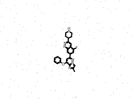 Cc1cn2nc(-c3cc(F)c4cc(C5CCNCC5)nnc4c3)cc(Oc3ccccc3)c2n1